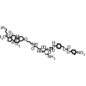 CC(C)CCC[C@@H](C)C1CCC2[C@@H]3CC=C4C[C@@H](OCCCNC(=O)CCC(=O)N[C@@H](CC(N)=O)C(=O)NCC(=O)Nc5ccc(COC(=O)Oc6ccc([N+](=O)[O-])cc6)cc5)CC[C@]4(C)[C@H]3CC[C@]12C